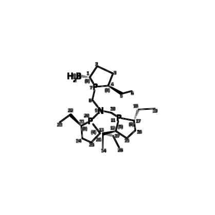 B[C@@H]1CC[C@@H](CC)P1CN(CP1[C@H](CC)CC[C@H]1CC)P1[C@H](CC)CC[C@H]1CC